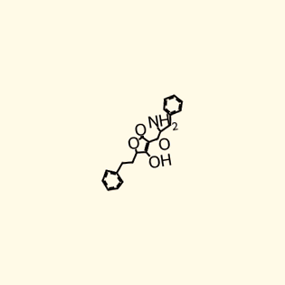 NC(Cc1ccccc1)C(=O)C1=C(O)C(CCc2ccccc2)OC1=O